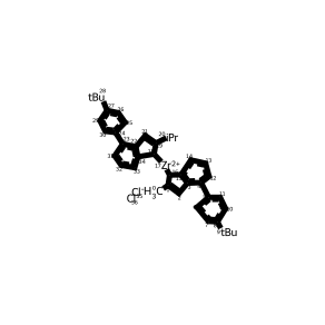 CC1=Cc2c(-c3ccc(C(C)(C)C)cc3)cccc2[CH]1[Zr+2][CH]1C(C(C)C)=Cc2c(-c3ccc(C(C)(C)C)cc3)cccc21.[Cl-].[Cl-]